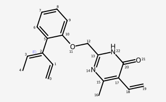 C=C/C(=C\C)c1ccccc1OCc1nc(C)c(C=C)c(=O)[nH]1